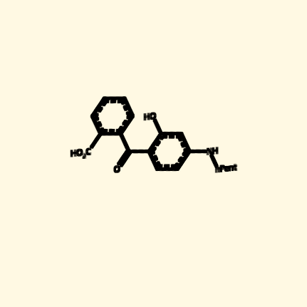 CCCCCNc1ccc(C(=O)c2ccccc2C(=O)O)c(O)c1